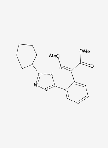 CON=C(C(=O)OC)c1ccccc1-c1nnc(C2CCCCC2)s1